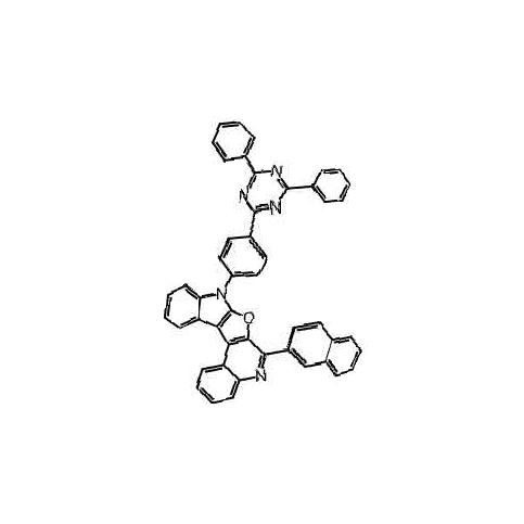 c1ccc(-c2nc(-c3ccccc3)nc(-c3ccc(-n4c5ccccc5c5c6c(oc54)c(-c4ccc5ccccc5c4)nc4ccccc46)cc3)n2)cc1